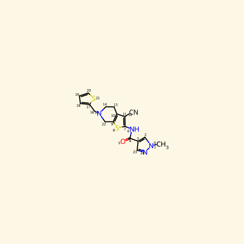 Cn1cc(C(=O)Nc2sc3c(c2C#N)CCN(Cc2cccs2)C3)cn1